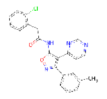 Cc1cccc(-c2noc(NC(=O)Cc3ccccc3Cl)c2-c2ccncn2)c1